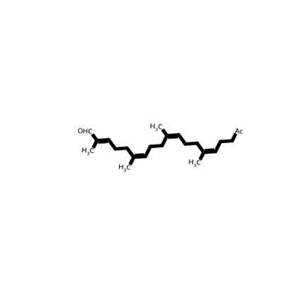 CC(=O)CCC=C(C)CCC=C(C)CCC=C(C)CCC=C(C)C=O